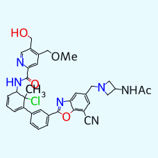 COCc1cc(C(=O)NC2C=CC=C(c3cccc(-c4nc5cc(CN6CC(NC(C)=O)C6)cc(C#N)c5o4)c3)C2(C)Cl)ncc1CO